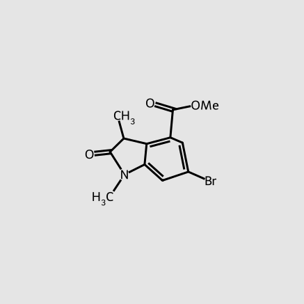 COC(=O)c1cc(Br)cc2c1C(C)C(=O)N2C